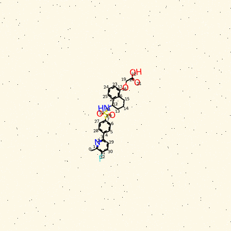 Cc1nc(-c2ccc(S(=O)(=O)NC3CCCc4c(OCC(=O)O)cccc43)cc2)ccc1F